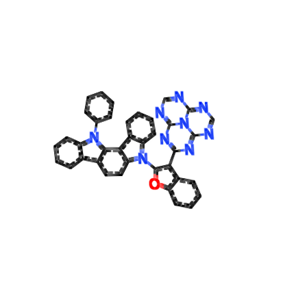 C1=NC2=NC=NC3=NC(c4c(-n5c6ccccc6c6c5ccc5c7ccccc7n(-c7ccccc7)c56)oc5ccccc45)=NC(=N1)N23